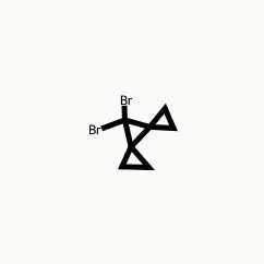 BrC1(Br)C2(CC2)C12CC2